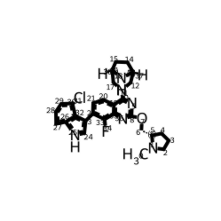 CN1CCC[C@H]1COc1nc(N2C[C@H]3CC[C@@H](C2)N3)c2ccc(-c3c[nH]c4cccc(Cl)c34)c(F)c2n1